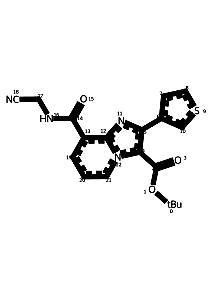 CC(C)(C)OC(=O)c1c(-c2ccsc2)nc2c(C(=O)NCC#N)cccn12